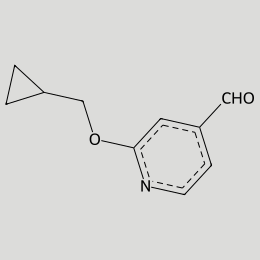 O=Cc1ccnc(OCC2CC2)c1